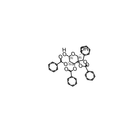 O=C(O[C@H]1[C@@H](OC(=O)c2ccccc2)[C@@](OC(=O)c2ccccc2)(C(=O)c2ccccc2)[C@@H](CO)O[C@@H]1O)c1ccccc1